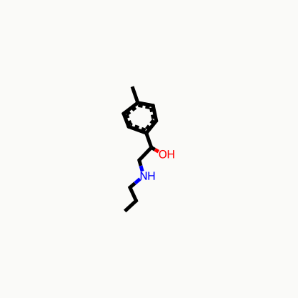 CCCNCC(O)c1ccc(C)cc1